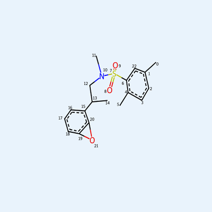 Cc1ccc(C)c(S(=O)(=O)N(C)CC(C)c2cccc3c2O3)c1